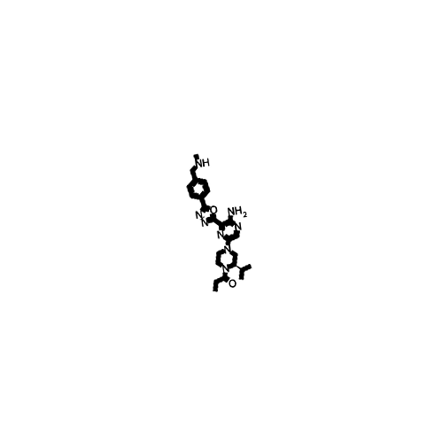 CCC(=O)N1CCN(c2cnc(N)c(-c3nnc(-c4ccc(CNC)cc4)o3)n2)C[C@@H]1C(C)C